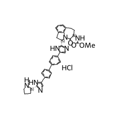 COC(=O)N[C@H]1CCc2cccc3c2N(C1=O)[C@H](c1ncc(-c2ccc(-c4ccc(-c5cnc([C@@H]6CCCN6)[nH]5)cc4)cc2)[nH]1)C3.Cl